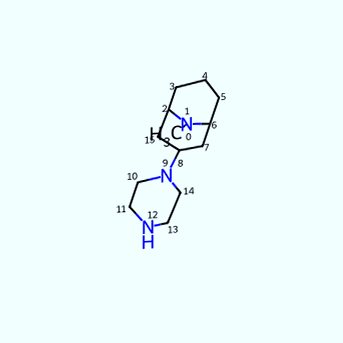 CN1C2CCCC1CC(N1CCNCC1)C2